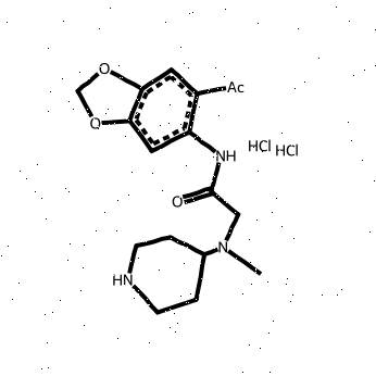 CC(=O)c1cc2c(cc1NC(=O)CN(C)C1CCNCC1)OCO2.Cl.Cl